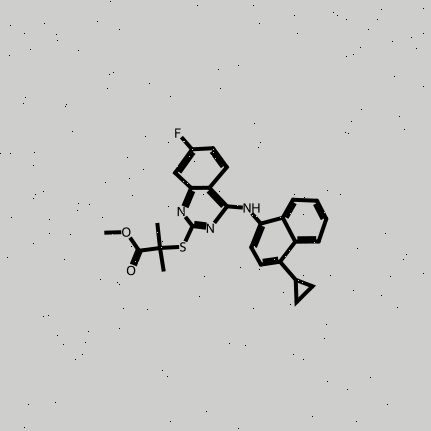 COC(=O)C(C)(C)Sc1nc(Nc2ccc(C3CC3)c3ccccc23)c2ccc(F)cc2n1